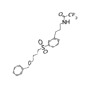 O=C(NCCCc1cccc(S(=O)(=O)CCCCOCc2ccccc2)c1)C(F)(F)F